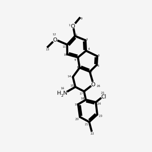 COc1cc2ccc3c(c2cc1OC)CC(N)C(c1ccc(C)cc1Cl)O3